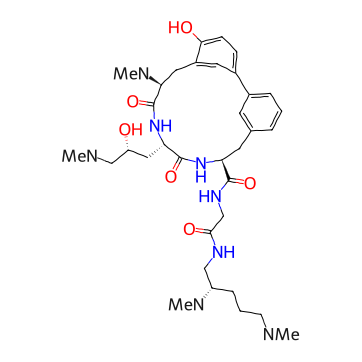 CNCCC[C@@H](CNC(=O)CNC(=O)[C@@H]1Cc2cccc(c2)-c2ccc(O)c(c2)C[C@H](NC)C(=O)N[C@@H](C[C@@H](O)CNC)C(=O)N1)NC